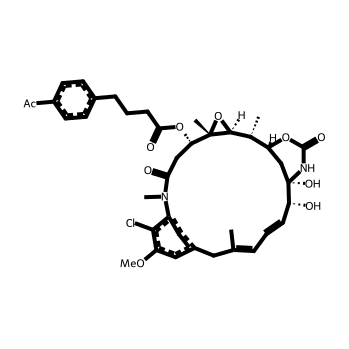 COc1cc2cc(c1Cl)N(C)C(=O)C[C@H](OC(=O)CCCc1ccc(C(C)=O)cc1)[C@]1(C)O[C@H]1[C@H](C)[C@@H]1C[C@@](O)(NC(=O)O1)[C@H](O)/C=C/C=C(\C)C2